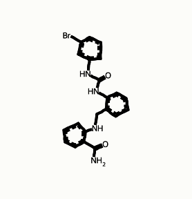 NC(=O)c1ccccc1NCc1ccccc1NC(=O)Nc1cccc(Br)c1